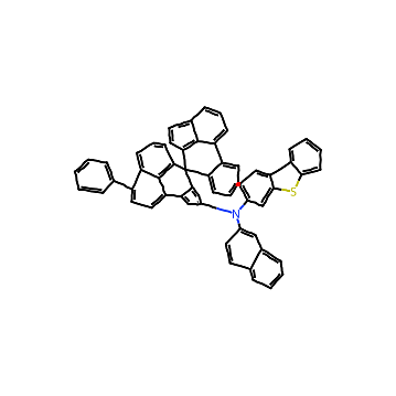 c1ccc(-c2ccc3c4c(cccc24)C2(c4ccccc4-c4cccc5cccc2c45)c2cc(N(c4ccc5ccccc5c4)c4ccc5c(c4)sc4ccccc45)ccc2-3)cc1